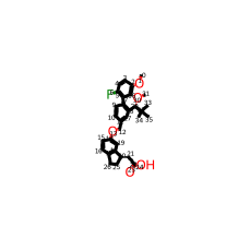 COc1ccc(F)c(-c2ccc(COc3ccc4c(c3)[C@@H](CC(=O)O)CC4)cc2[C@H](OC)C(C)(C)C)c1